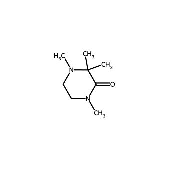 CN1CCN(C)C(C)(C)C1=O